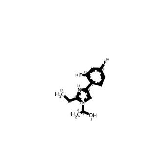 [CH2]C(O)n1cc(-c2ccc(F)cc2F)nc1CC